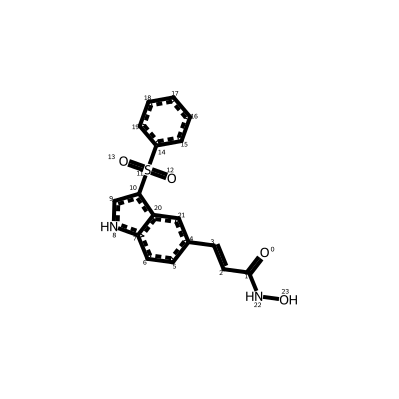 O=C(/C=C/c1ccc2[nH]cc(S(=O)(=O)c3ccccc3)c2c1)NO